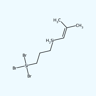 CC(C)=C[SiH2]CCC[Si](Br)(Br)Br